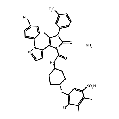 CCc1c(C[C@H]2CC[C@H](NC(=O)n3c(-c4ccnn4-c4ccc(C#N)cc4)c(C)n(-c4cccc(C(F)(F)F)c4)c3=O)CC2)cc(S(=O)(=O)O)c(C)c1C.N